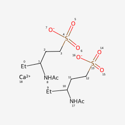 CCC(CCS(=O)(=O)[O-])NC(C)=O.CCC(CCS(=O)(=O)[O-])NC(C)=O.[Ca+2]